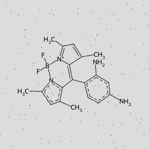 CC1=CC(C)=[N+]2C1=C(c1ccc(N)cc1N)c1c(C)cc(C)n1[B-]2(F)F